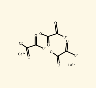 O=C([O-])C(=O)[O-].O=C([O-])C(=O)[O-].O=C([O-])C(=O)[O-].[Ce+3].[La+3]